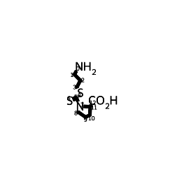 NCCCSC(=S)N1CCCC1C(=O)O